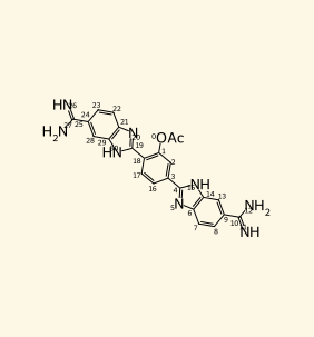 CC(=O)Oc1cc(-c2nc3ccc(C(=N)N)cc3[nH]2)ccc1-c1nc2ccc(C(=N)N)cc2[nH]1